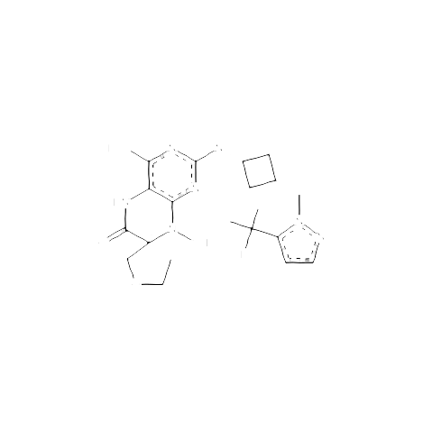 Cc1nc(N[C@H]2C[C@@H](Cn3nccc3C(F)(F)F)C2)nc2c1NC(=O)[C@@]1(CCOC1)N2C